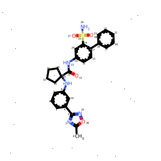 Cc1nc(-c2cccc(NC3(C(=O)Nc4ccc(-c5ccccc5)c(S(N)(=O)=O)c4)CCCC3)c2)no1